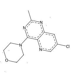 Cc1nc(N2CCOCC2)c2ncc(Cl)cc2n1